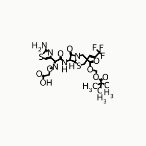 CC(C)(C)C(=O)OCOC(=O)C1(C=CC(F)(F)F)CS[C@@H]2C(NC(=O)C(=NOCC(=O)O)c3csc(N)n3)C(=O)N2C1